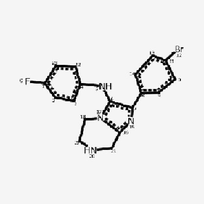 Fc1ccc(Nc2c(-c3ccc(Br)cc3)nc3n2CCNC3)cc1